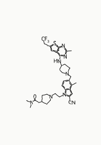 Cc1nc(NC2CCN(Cc3ccc4c(cc(C#N)n4CCN4CCC(CC(=O)N(C)C)CC4)c3C)CC2)c2cc(CC(F)(F)F)sc2n1